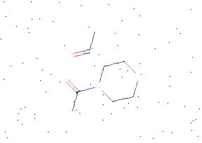 CC(=O)[C@@H]1CSCCN1C(C)=O